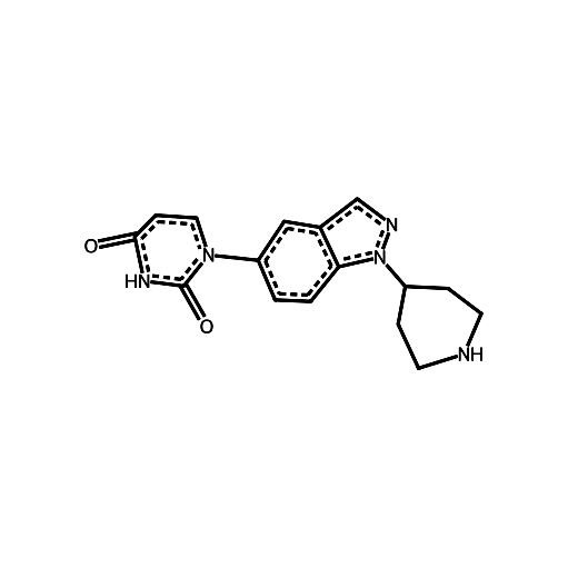 O=c1ccn(-c2ccc3c(cnn3C3CCNCC3)c2)c(=O)[nH]1